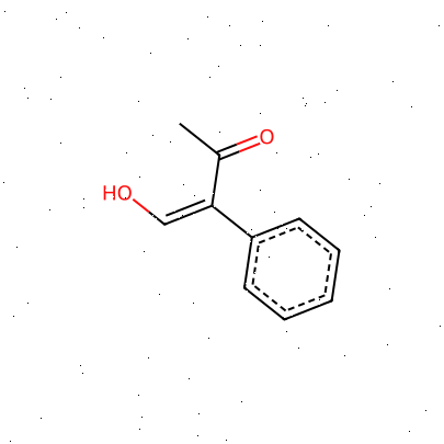 CC(=O)/C(=C\O)c1ccccc1